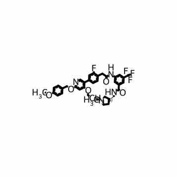 CCOc1cc(OCc2ccc(OC)cc2)ncc1-c1ccc(CC(=O)Nc2cc(C(=O)NC[C@@H]3CCN(C)C3)cc(C(F)(F)F)c2)c(F)c1